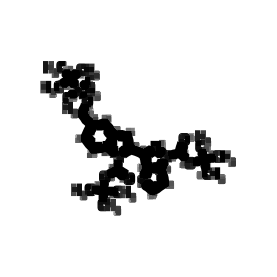 CC(C)(C)OC(=O)n1nc(-c2cc3cc(CO[Si](C)(C)C(C)(C)C)ccc3n2C(=O)OC(C)(C)C)c2sccc21